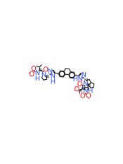 COC(=O)N[C@H](C(=O)N1CCC[C@H]1c1ncc(-c2ccc3c(c2)CCc2cc(-c4cnc([C@@H]5CC6CCC[C@H]6N5C(=O)[C@@H](NC(=O)OC)[C@@H](C)OC)[nH]4)ccc2-3)[nH]1)C(C)C